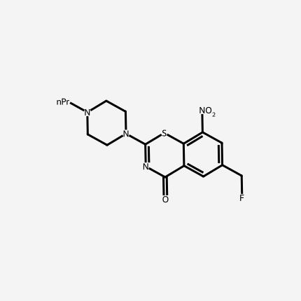 CCCN1CCN(c2nc(=O)c3cc(CF)cc([N+](=O)[O-])c3s2)CC1